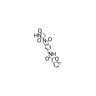 Cc1cccc2c1OCC(C(=O)NCc1ccc3c(c1)CN(C1CCC(=O)NC1=O)C3=O)=C2